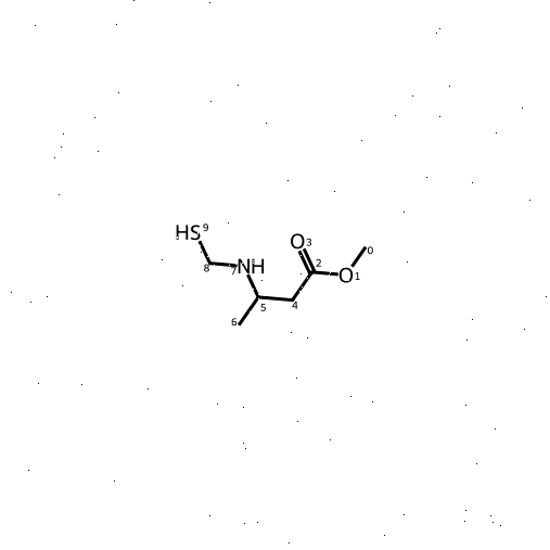 COC(=O)CC(C)NCS